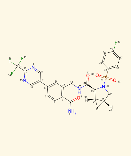 NC(=O)c1ccc(-c2cnc(C(F)(F)F)nc2)cc1CNC(=O)[C@@H]1[C@H]2C[C@H]2CN1S(=O)(=O)c1ccc(F)cc1